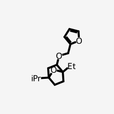 CCC12CCC(C(C)C)(CC1OCc1ccco1)O2